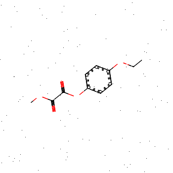 CCOc1ccc(OC(=O)C(=O)OC)cc1